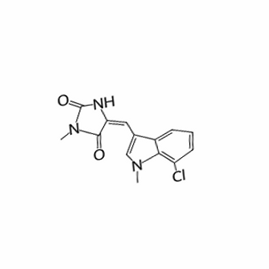 CN1C(=O)N/C(=C/c2cn(C)c3c(Cl)cccc23)C1=O